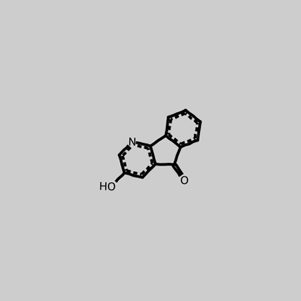 O=C1c2ccccc2-c2ncc(O)cc21